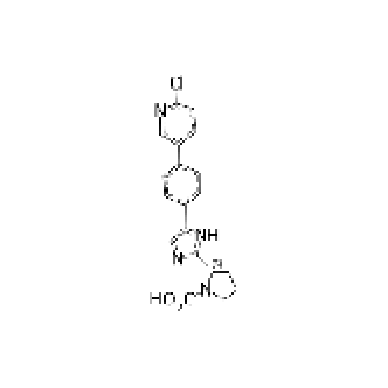 O=C(O)N1CCC[C@H]1c1ncc(-c2ccc(-c3ccc(Cl)nc3)cc2)[nH]1